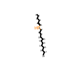 CCCCC=CPCCCCCCCCCCCC